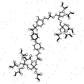 C=CC(=C)OCC(COCC(COC(=C)C=C)(COC(=O)C=C)COC(=O)CCN1CCN(C(C)(C)C(=O)c2ccc(N3CCN(CCC(=O)OCC(COCC(COC(=O)C=C)(COC(=O)C=C)OCC(=O)C=C)(COC(=O)C=C)COC(=O)C=C)C(C)C3)cc2)CC1C)(COC(=O)C=C)COC(=O)C=C